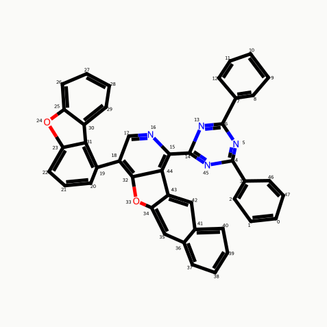 c1ccc(-c2nc(-c3ccccc3)nc(-c3ncc(-c4cccc5oc6ccccc6c45)c4oc5cc6ccccc6cc5c34)n2)cc1